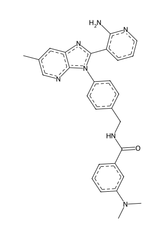 Cc1cnc2c(c1)nc(-c1cccnc1N)n2-c1ccc(CNC(=O)c2cccc(N(C)C)c2)cc1